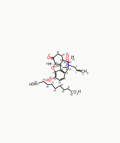 C=CCN1CC[C@]23c4c5ccc(O)c4O[C@H]2C(=O)CC[C@@]3(O)[C@H]1C5.CCCCCCCCCCCCCCCCCC(=O)O